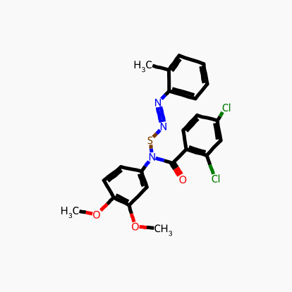 COc1ccc(N(SN=Nc2ccccc2C)C(=O)c2ccc(Cl)cc2Cl)cc1OC